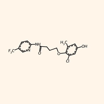 Cc1cc(O)cc(Cl)c1OCCCC(=O)Nc1ccc(C(F)(F)F)cn1